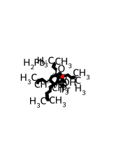 CC(C)=CCC[C@]1(C)[C@@H](CC=C(C)C)C[C@]2(CC=C(C)C)C(=O)C(CC=C(C)C)=C(O)[C@@]1(C(=O)C(C)C)C2=O.[PbH2]